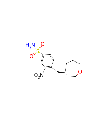 NS(=O)(=O)c1ccc(C[C@H]2CCCOCC2)c([N+](=O)[O-])c1